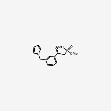 COP(=O)(CC(=O)c1cccc(Cn2cccc2)c1)OC